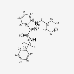 CC(C)(NC(=O)c1nn(CC2CCOCC2)c2ccccc12)c1ccccc1